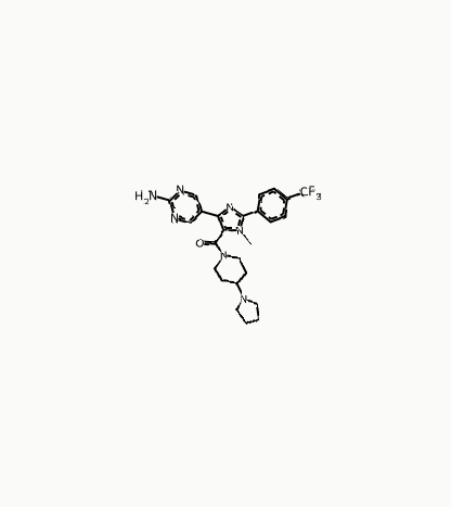 Cn1c(-c2ccc(C(F)(F)F)cc2)nc(-c2cnc(N)nc2)c1C(=O)N1CCC(N2CCCC2)CC1